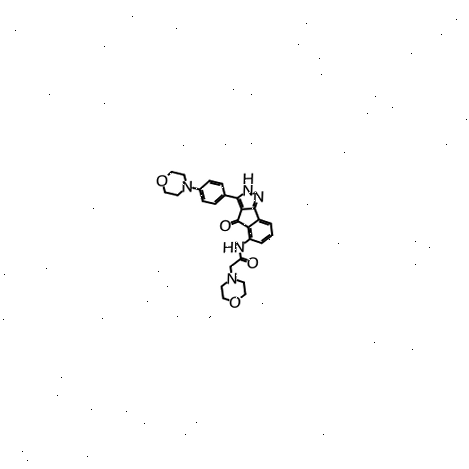 O=C(CN1CCOCC1)Nc1cccc2c1C(=O)c1c-2n[nH]c1-c1ccc(N2CCOCC2)cc1